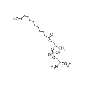 CCCCCCCC/C=C\CCCCCCCC(=O)OC[C@@H](C)OP(=O)(O)OC[C@H](N)C(=O)O